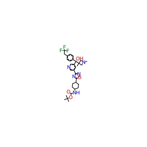 CN1CC(C)([C@](O)(c2ccc(CC(F)(F)F)cc2)c2cncc(-c3noc(C4CCC(NC(=O)OC(C)(C)C)CC4)n3)c2)C1